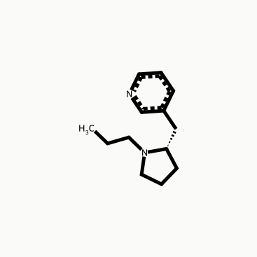 CCCN1CCC[C@H]1Cc1cccnc1